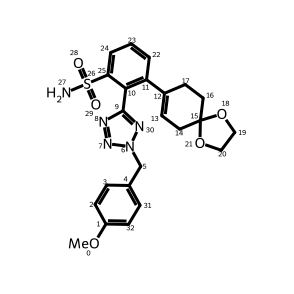 COc1ccc(Cn2nnc(-c3c(C4=CCC5(CC4)OCCO5)cccc3S(N)(=O)=O)n2)cc1